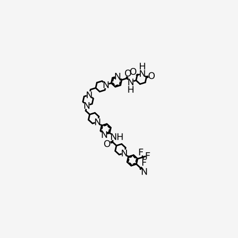 N#Cc1ccc(N2CCC(C(=O)Nc3ccc(N4CCC(CN5CCN(CC6CCN(c7ccc(C(=O)NC8CCC(=O)NC8=O)nc7)CC6)CC5)CC4)cn3)CC2)cc1C(F)(F)F